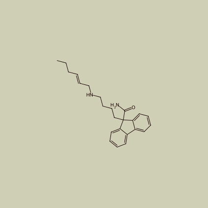 CCC/C=C/CNCCCCC1(C(N)=O)c2ccccc2-c2ccccc21